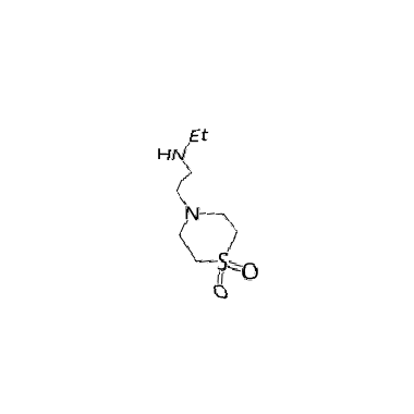 CCNCCN1CCS(=O)(=O)CC1